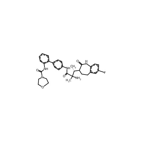 C[C@H](C1CCc2cc(F)ccc2NC1=O)C(C)(N)C(=O)Nc1ccc(-c2ccccc2NC(=O)N2CCOCC2)cc1